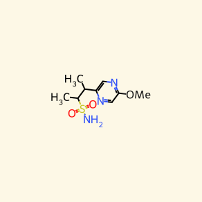 COc1cnc(C(C)C(C)S(N)(=O)=O)cn1